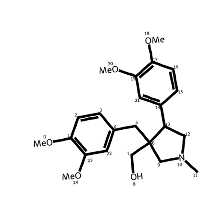 COc1ccc(CC2(CO)CN(C)CC2c2ccc(OC)c(OC)c2)cc1OC